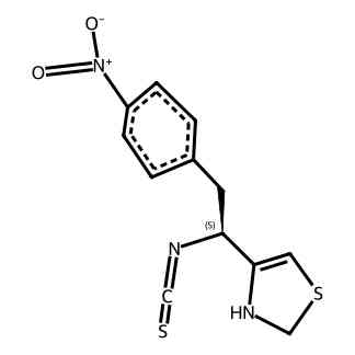 O=[N+]([O-])c1ccc(C[C@H](N=C=S)C2=CSCN2)cc1